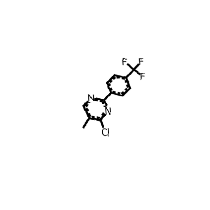 Cc1cnc(-c2ccc(C(F)(F)F)cc2)nc1Cl